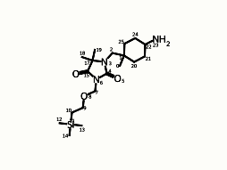 CC1(CN2C(=O)N(COCC[Si](C)(C)C)C(=O)C2(C)C)CCC(N)CC1